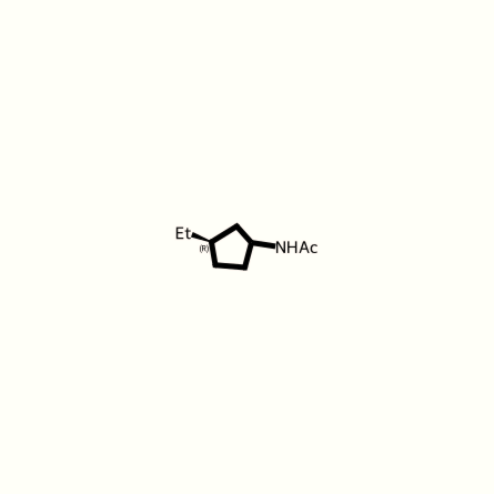 CC[C@@H]1CCC(NC(C)=O)C1